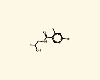 Cc1cc(Br)ccc1C(=O)NC[C@H](C)O